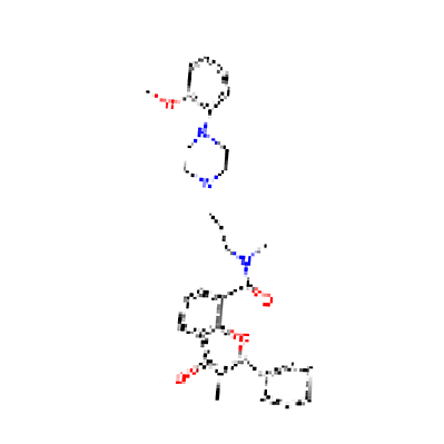 COc1ccccc1N1CCN(CCCN(C)C(=O)c2cccc3c(=O)c(C)c(-c4ccccc4)oc23)CC1